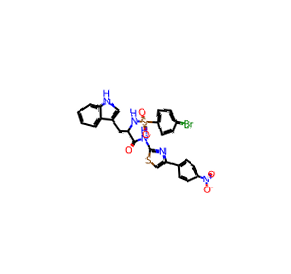 O=C(Nc1nc(-c2ccc([N+](=O)[O-])cc2)cs1)C(Cc1c[nH]c2ccccc12)NS(=O)(=O)c1ccc(Br)cc1